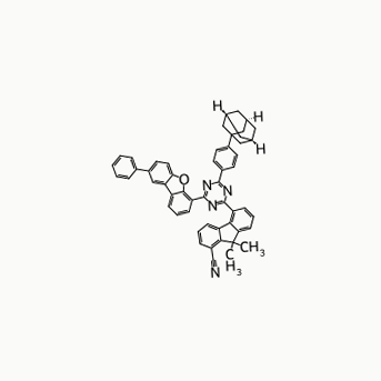 CC1(C)c2cccc(-c3nc(-c4ccc(C56C[C@H]7C[C@@H](C5)C[C@@H](C6)C7)cc4)nc(-c4cccc5c4oc4ccc(-c6ccccc6)cc45)n3)c2-c2cccc(C#N)c21